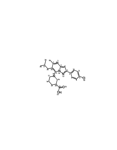 Cc1nc2cc(-c3ccc(Cl)cc3)nn2c(N2CCCC(C(=O)O)C2)c1CC(C)C